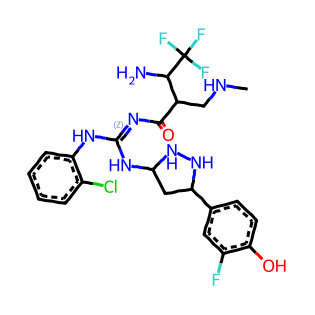 CNCC(C(=O)/N=C(/Nc1ccccc1Cl)NC1CC(c2ccc(O)c(F)c2)NN1)C(N)C(F)(F)F